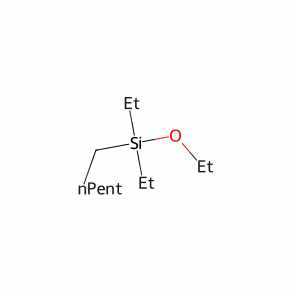 CCCCCC[Si](CC)(CC)OCC